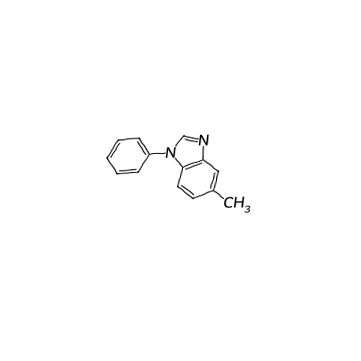 Cc1ccc2c(c1)ncn2-c1ccccc1